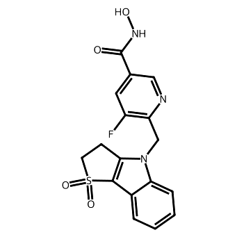 O=C(NO)c1cnc(Cn2c3c(c4ccccc42)S(=O)(=O)CC3)c(F)c1